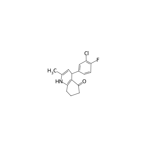 CC1=CC(c2ccc(F)c(Cl)c2)C2=C(CCCC2=O)N1